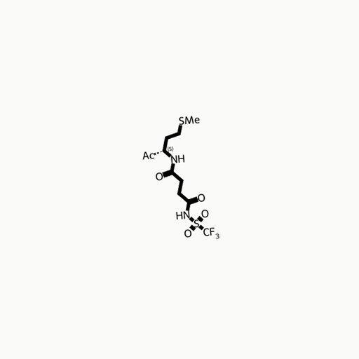 CSCC[C@H](NC(=O)CCC(=O)NS(=O)(=O)C(F)(F)F)C(C)=O